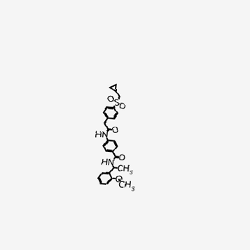 COc1ccccc1C(C)NC(=O)c1ccc(NC(=O)Cc2ccc(S(=O)(=O)CC3CC3)cc2)cc1